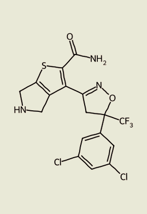 NC(=O)c1sc2c(c1C1=NOC(c3cc(Cl)cc(Cl)c3)(C(F)(F)F)C1)CNC2